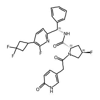 O=C(N[C@@H](c1ccccc1)c1ccc(C2CC(F)(F)C2)c(F)n1)[C@@H]1C[C@@H](F)CN1C(=O)Cc1ccc(=O)[nH]c1